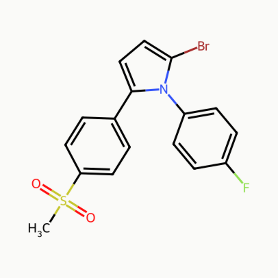 CS(=O)(=O)c1ccc(-c2ccc(Br)n2-c2ccc(F)cc2)cc1